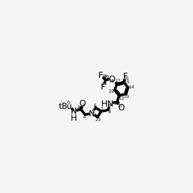 CC(C)(C)NC(=O)CN1CC(CNC(=O)c2ccc(F)c(OC(F)F)c2)C1